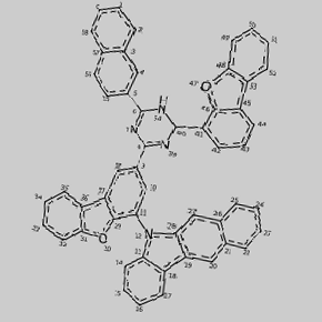 c1ccc2cc(C3=NC(c4cc(-n5c6ccccc6c6cc7ccccc7cc65)c5oc6ccccc6c5c4)=NC(c4cccc5c4oc4ccccc45)N3)ccc2c1